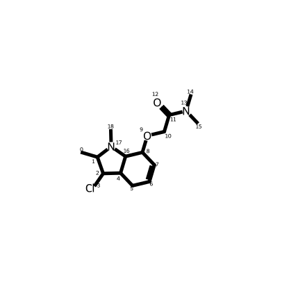 CC1C(Cl)C2CC=CC(OCC(=O)N(C)C)C2N1C